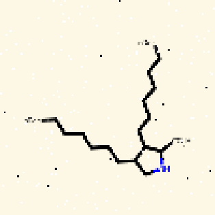 CCCCCCCCCCCCCCCCC1CNC(C(=O)O)C1CCCCCCCCCCCCCCCC